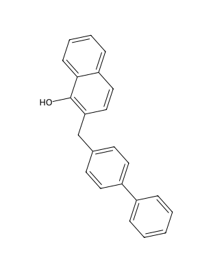 Oc1c(Cc2ccc(-c3ccccc3)cc2)ccc2ccccc12